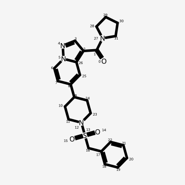 O=C(c1cnn2ccc(C3CCN(S(=O)(=O)Cc4ccccc4)CC3)cc12)N1CCCC1